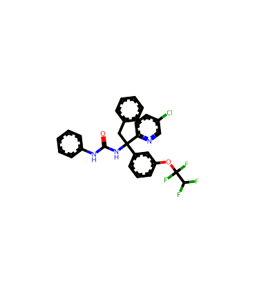 O=C(Nc1ccccc1)NC(Cc1ccccc1)(c1cccc(OC(F)(F)C(F)F)c1)c1ccc(Cl)cn1